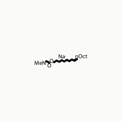 CCCCCCCC/C=C\CCCCCCCCOC(=O)CNC.[Na]